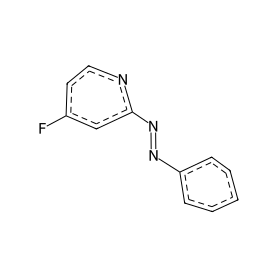 Fc1ccnc(N=Nc2ccccc2)c1